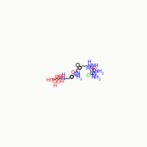 N=C(NCCCCc1ccc(C[C@H](N)C(=O)Nc2ccc(CCCNC[C@H](O)[C@@H](O)[C@H](O)[C@H](O)CO)cc2)c2c1CCCC2)NC(=O)c1nc(Cl)c(N)nc1N